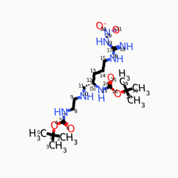 CC(C)(C)OC(=O)NCCNC[C@H](CCCNC(=N)N[N+](=O)[O-])NC(=O)OC(C)(C)C